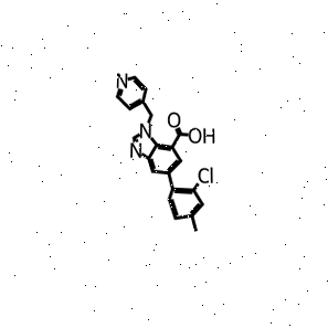 Cc1ccc(-c2cc(C(=O)O)c3c(c2)ncn3Cc2ccncc2)c(Cl)c1